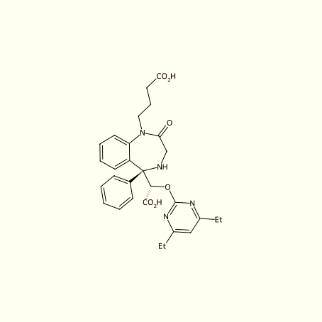 CCc1cc(CC)nc(O[C@H](C(=O)O)[C@@]2(c3ccccc3)NCC(=O)N(CCCC(=O)O)c3ccccc32)n1